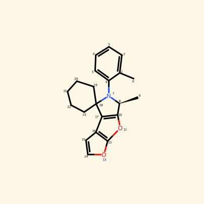 Cc1ccccc1N1[C@@H](C)c2oc3occc3c2C12CCCCC2